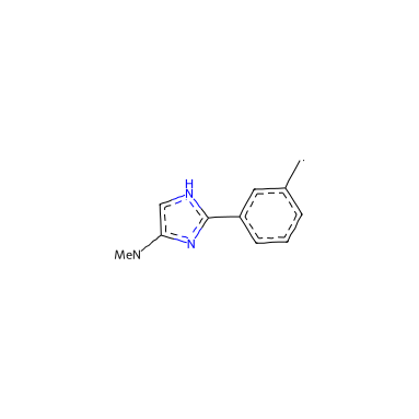 [CH2]c1cccc(-c2nc(NC)c[nH]2)c1